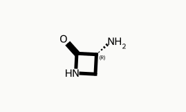 N[C@@H]1CNC1=O